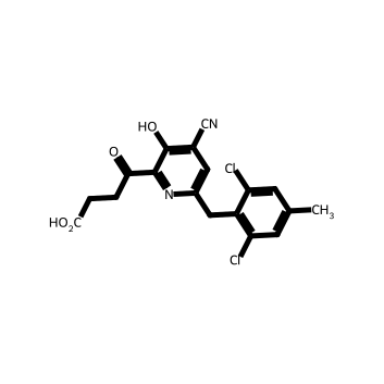 Cc1cc(Cl)c(Cc2cc(C#N)c(O)c(C(=O)CCC(=O)O)n2)c(Cl)c1